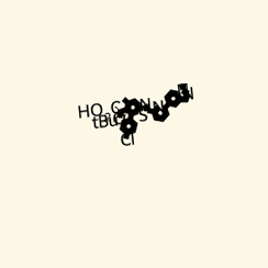 Cc1cc2nc(-c3cccc(-c4ccc5c(cnn5C)c4)n3)sc2c(-c2ccc(Cl)cc2)c1[C@H](OC(C)(C)C)C(=O)O